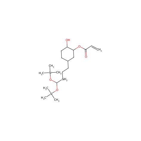 C=CC(=O)OC1CC(CC[SiH2]C(O[Si](C)(C)C)O[Si](C)(C)C)CCC1O